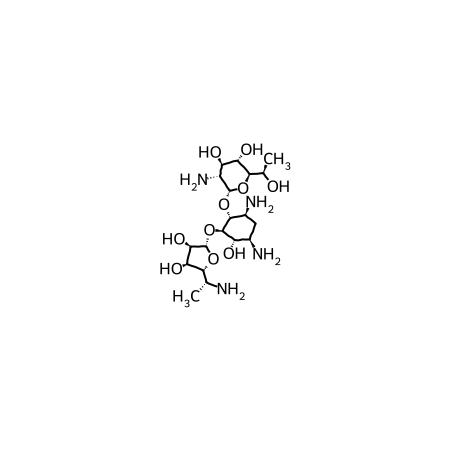 C[C@@H](N)[C@H]1O[C@@H](O[C@@H]2[C@@H](O)[C@H](N)C[C@H](N)[C@H]2O[C@H]2O[C@H]([C@@H](C)O)[C@@H](O)[C@H](O)[C@H]2N)[C@H](O)[C@@H]1O